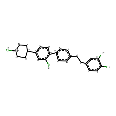 Fc1ccc(CCc2ccc(-c3ccc(C4CC[SiH](Cl)CC4)cc3F)cc2)cc1F